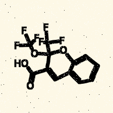 O=C(O)C1=Cc2ccccc2OC1(OC(F)(F)F)C(F)(F)F